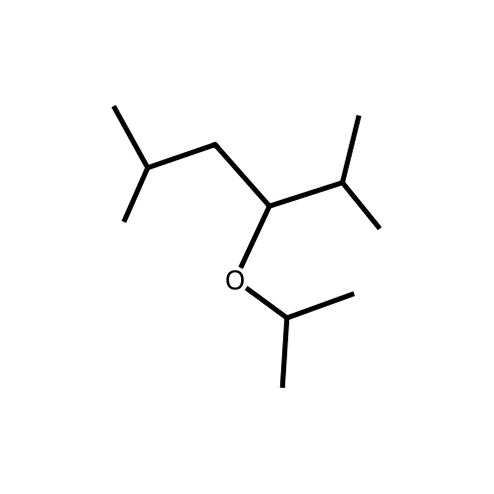 CC(C)CC(OC(C)C)C(C)C